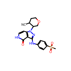 CS(=O)(=O)c1ccc(Nc2nn(C3COCCC3C#N)c3cc[nH]c(=O)c23)cc1